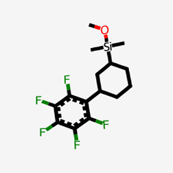 CO[Si](C)(C)C1CCCC(c2c(F)c(F)c(F)c(F)c2F)C1